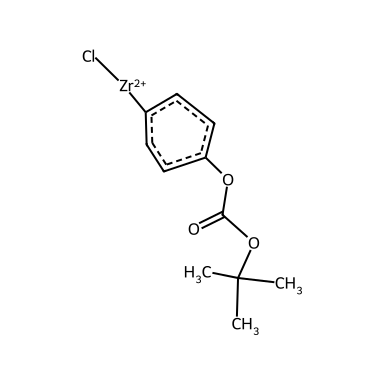 CC(C)(C)OC(=O)Oc1cc[c]([Zr+2][Cl])cc1